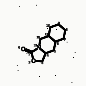 O=C1OCC2CC3CCCCC3CN12